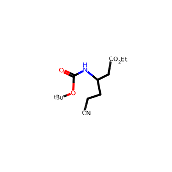 CCOC(=O)CC(CCC#N)NC(=O)OC(C)(C)C